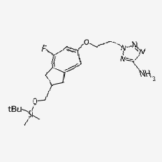 CC(C)(C)[Si](C)(C)OCC1Cc2cc(OCCn3nnc(N)n3)cc(F)c2C1